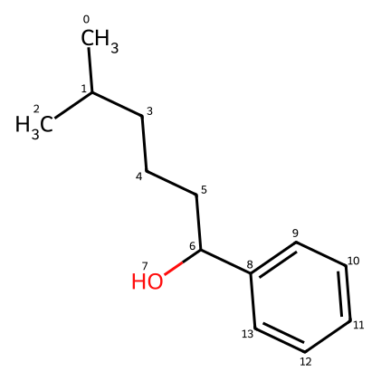 CC(C)CCCC(O)c1ccccc1